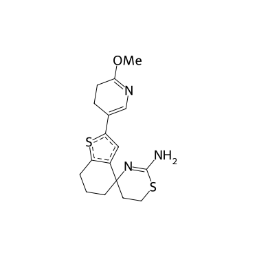 COC1=NC=C(c2cc3c(s2)CCCC32CCSC(N)=N2)CC1